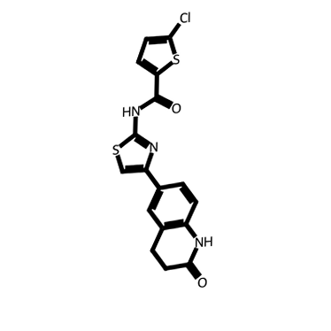 O=C1CCc2cc(-c3csc(NC(=O)c4ccc(Cl)s4)n3)ccc2N1